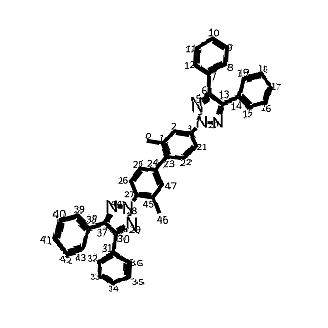 Cc1cc(-n2nc(-c3ccccc3)c(-c3ccccc3)n2)ccc1-c1ccc(-n2nc(-c3ccccc3)c(-c3ccccc3)n2)c(C)c1